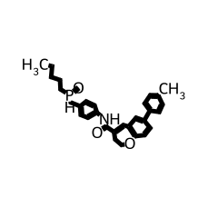 CCCCC[PH](=O)Cc1ccc(NC(=O)C2=Cc3cc(-c4ccc(C)cc4)ccc3OCC2)cc1